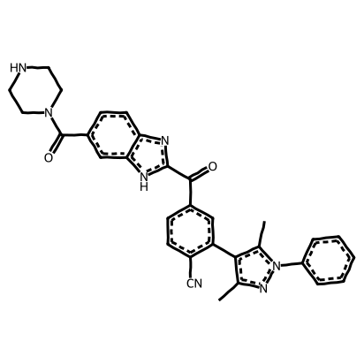 Cc1nn(-c2ccccc2)c(C)c1-c1cc(C(=O)c2nc3ccc(C(=O)N4CCNCC4)cc3[nH]2)ccc1C#N